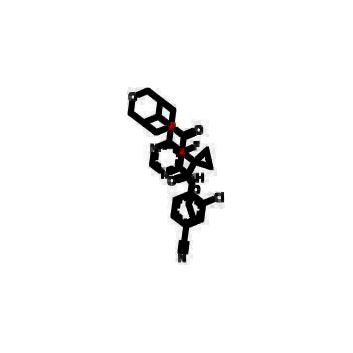 CCOC(=O)C1(OC(=O)N2CC3COCC(C2)C3Oc2ncnc(Nc3ccc(C#N)cc3Cl)c2F)CC1